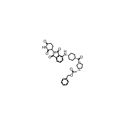 O=C1CCC(N2C(=O)c3cccc(N[C@H]4CC[C@H](C(=O)N5CC[C@H](CC(=O)OCc6ccccc6)C5)CC4)c3C2=O)C(=O)N1